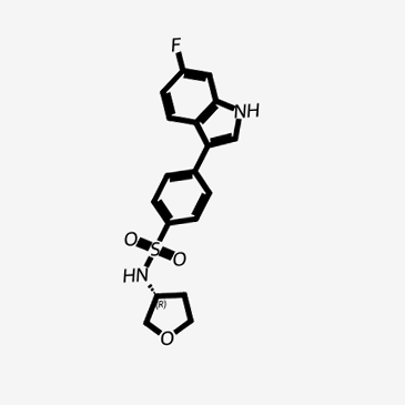 O=S(=O)(N[C@@H]1CCOC1)c1ccc(-c2c[nH]c3cc(F)ccc23)cc1